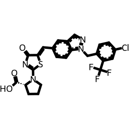 O=C1N=C(N2CCC[C@@H]2C(=O)O)S/C1=C\c1ccc2c(cnn2Cc2ccc(Cl)cc2C(F)(F)F)c1